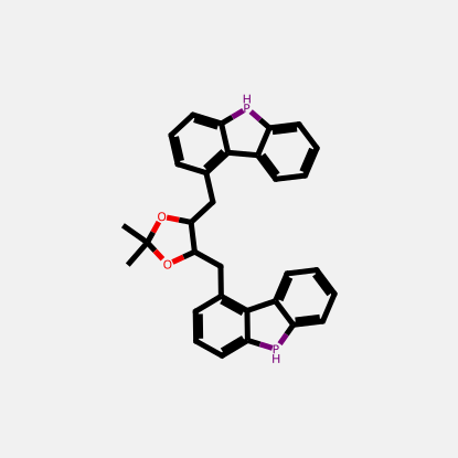 CC1(C)OC(Cc2cccc3[pH]c4ccccc4c23)C(Cc2cccc3[pH]c4ccccc4c23)O1